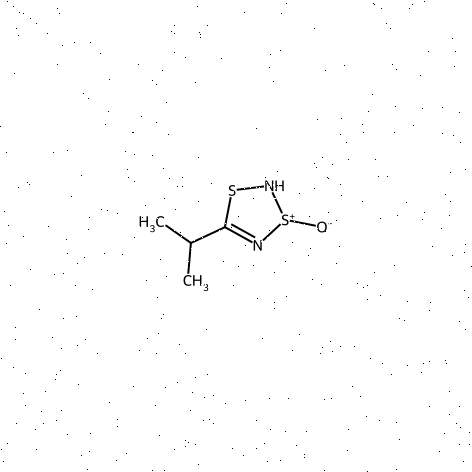 CC(C)C1=N[S+]([O-])NS1